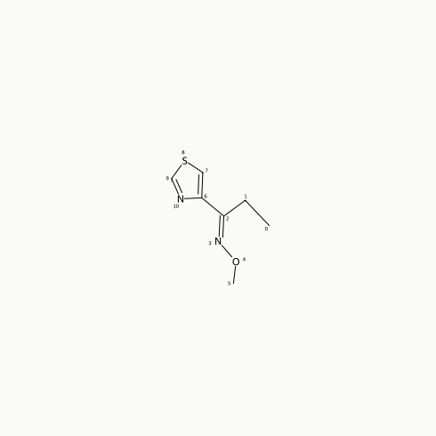 CC/C(=N\OC)c1cs[c]n1